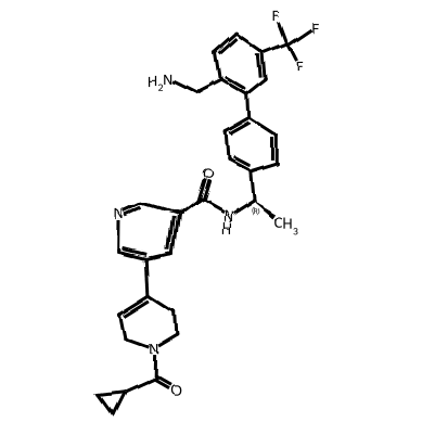 C[C@@H](NC(=O)c1cncc(C2=CCN(C(=O)C3CC3)CC2)c1)c1ccc(-c2cc(C(F)(F)F)ccc2CN)cc1